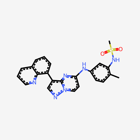 Cc1ccc(Nc2ccn3ncc(-c4cccc5cccnc45)c3n2)cc1NS(C)(=O)=O